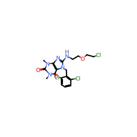 Cn1c(=O)c2c(nc(NCCOCCCl)n2Cc2c(Cl)cccc2Cl)n(C)c1=O